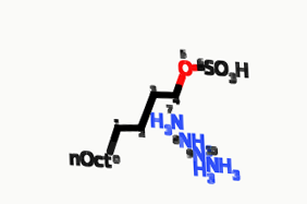 CCCCCCCCCCCCOS(=O)(=O)O.N.N.N.N